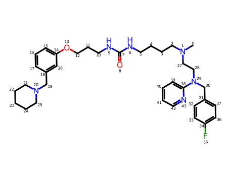 CN(CCCCNC(=O)NCCCOc1cccc(CN2CCCCC2)c1)CCN(Cc1ccc(F)cc1)c1ccccn1